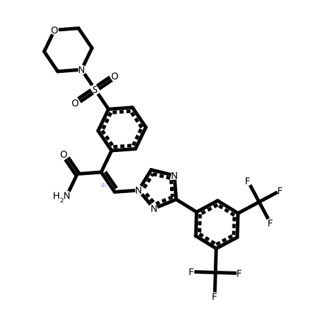 NC(=O)/C(=C/n1cnc(-c2cc(C(F)(F)F)cc(C(F)(F)F)c2)n1)c1cccc(S(=O)(=O)N2CCOCC2)c1